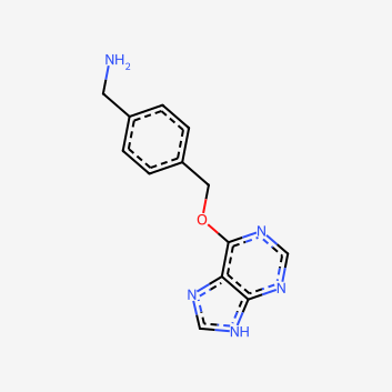 NCc1ccc(COc2ncnc3[nH]cnc23)cc1